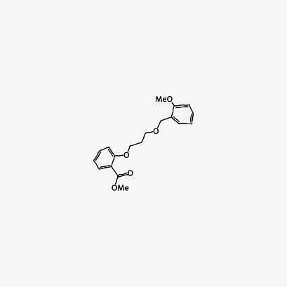 COC(=O)c1ccccc1OCCCOCc1ccccc1OC